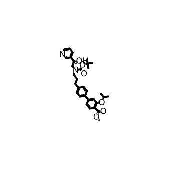 COC(=O)c1ccc(-c2ccc(CCCN(C[C@H](O)c3cccnc3)C(=O)OC(C)(C)C)cc2)cc1OC(C)C